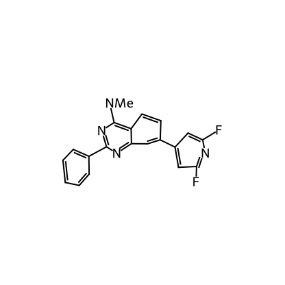 CNc1nc(-c2ccccc2)nc2cc(-c3cc(F)nc(F)c3)ccc12